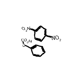 O=C(O)Oc1ccccc1.O=[N+]([O-])c1ccc([N+](=O)[O-])cc1